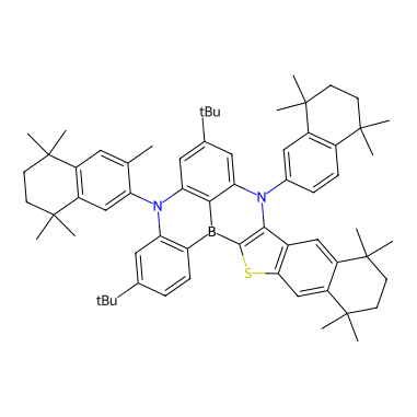 Cc1cc2c(cc1N1c3cc(C(C)(C)C)ccc3B3c4sc5cc6c(cc5c4N(c4ccc5c(c4)C(C)(C)CCC5(C)C)c4cc(C(C)(C)C)cc1c43)C(C)(C)CCC6(C)C)C(C)(C)CCC2(C)C